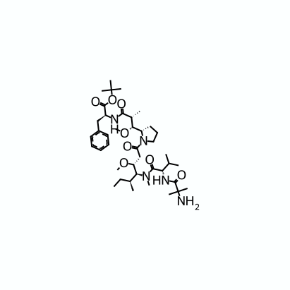 CC[C@H](C)[C@@H]([C@@H](CC(=O)N1CCC[C@H]1[C@H](OC)[C@@H](C)C(=O)N[C@@H](Cc1ccccc1)C(=O)OC(C)(C)C)OC)N(C)C(=O)[C@@H](NC(=O)C(C)(C)N)C(C)C